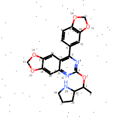 CC(Oc1nc(-c2ccc3c(c2)OCO3)c2cc3c(cc2n1)OCO3)C1CCCN1